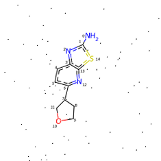 Nc1nc2ccc(C3CCOC3)nc2s1